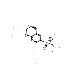 CS(=O)(=O)c1ccc2c(c1)N=CCO2